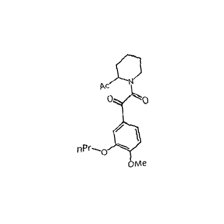 CCCOc1cc(C(=O)C(=O)N2CCCCC2C(C)=O)ccc1OC